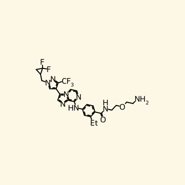 CCc1cc(Nc2nccn3c(-c4cn(CC5CC5(F)F)nc4C(F)(F)F)cnc23)ccc1C(=O)NCCOCCN